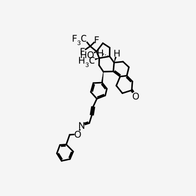 C[C@]12C[C@H](c3ccc(C#C/C=N/OCc4ccccc4)cc3)C3=C4CCC(=O)C=C4CC[C@H]3[C@@H]1CC[C@@]2(O)C(F)(F)C(F)(F)F